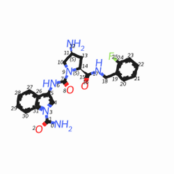 NC(=O)n1cc(NC(=O)N2C[C@@H](N)C[C@H]2C(=O)NCc2ccccc2F)c2ccccc21